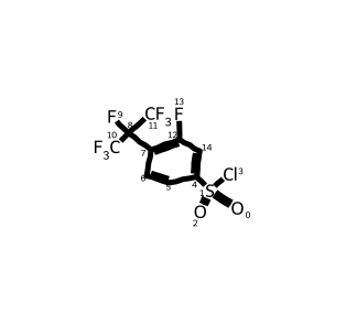 O=S(=O)(Cl)c1ccc(C(F)(C(F)(F)F)C(F)(F)F)c(F)c1